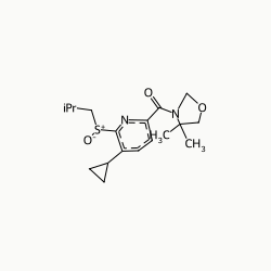 CC(C)C[S+]([O-])c1nc(C(=O)N2COCC2(C)C)ccc1C1CC1